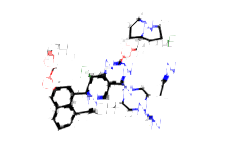 C#Cc1cccc2cc(OCOC)cc(-c3ncc4c(N5CCN(C#N)[C@@H](CC#N)C5)nc(OC[C@@]56CCCN5C[C@H](F)C6)nc4c3F)c12